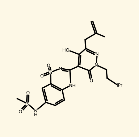 C=C(C)Cc1nn(CCC(C)C)c(=O)c(C2=NS(=O)(=O)c3cc(NS(C)(=O)=O)ccc3N2)c1O